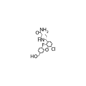 CC[C@@H](N[C@@H](C)CC(N)=O)c1ccc(Cl)c(Oc2cccc(CO)c2)c1F